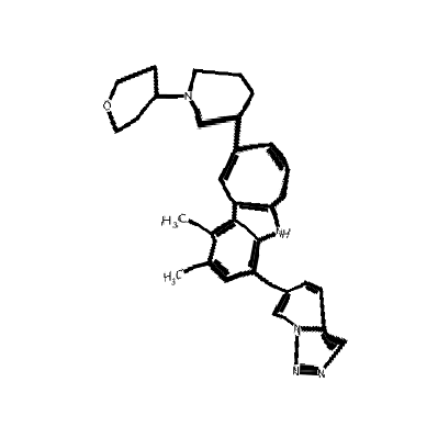 Cc1cc(-c2ccc3cnnn3c2)c2[nH]c3ccc(C4CCCN(C5CCOCC5)C4)cc3c2c1C